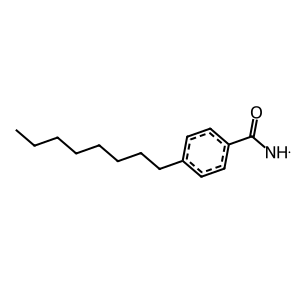 CCCCCCCCc1ccc(C([NH])=O)cc1